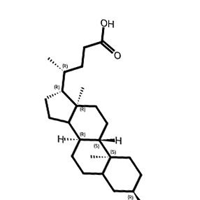 C[C@H](CCC(=O)O)[C@H]1CCC2[C@@H]3CCC4C[C@H](O)CC[C@]4(C)[C@H]3CC[C@@]21C